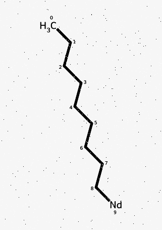 CCCCCCCC[CH2][Nd]